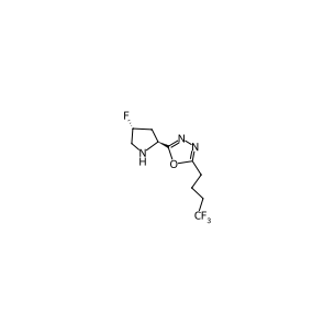 F[C@H]1CN[C@H](c2nnc(CCCC(F)(F)F)o2)C1